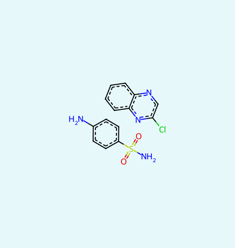 Clc1cnc2ccccc2n1.Nc1ccc(S(N)(=O)=O)cc1